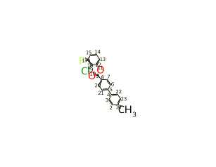 Cc1ccc(-c2ccc(C(=O)Oc3cccc(F)c3Cl)cc2)cc1